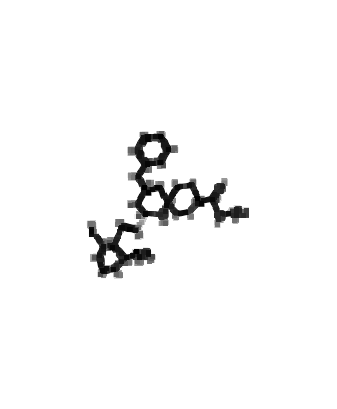 CC(C)(C)OC(=O)N1CCC2(CC1)CN(Cc1ccccc1)C[C@@H](C=Cc1c(F)cccc1[N+](=O)[O-])O2